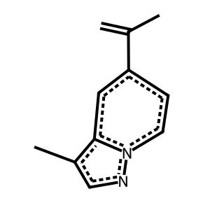 C=C(C)c1ccn2ncc(C)c2c1